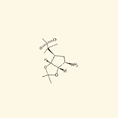 CC1(C)O[C@@H]2[C@H](O1)[C@@H](C(C)(C)S(C)(=O)=O)C[C@H]2N